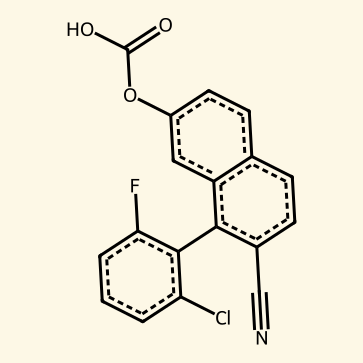 N#Cc1ccc2ccc(OC(=O)O)cc2c1-c1c(F)cccc1Cl